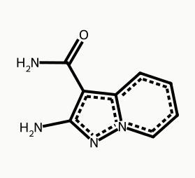 NC(=O)c1c(N)nn2ccccc12